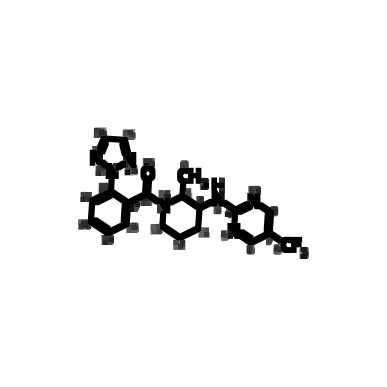 CC1C(Nc2ncc(C(F)(F)F)cn2)CCCN1C(=O)c1ccccc1-n1nccn1